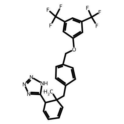 [CH2]C1(Cc2ccc(COc3cc(C(F)(F)F)cc(C(F)(F)F)c3)cc2)C=CC=CC1c1nnn[nH]1